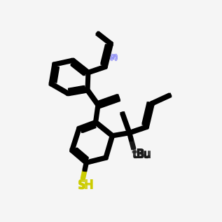 C=C(C1=CC=C(S)CC1C(C)(C=CC)C(C)(C)C)c1ccccc1/C=C\C